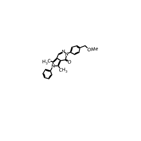 COCc1ccc(-n2ncc3c(C)n(-c4ccccc4)c(C)c3c2=O)cc1